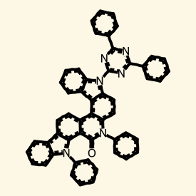 O=c1c2c(ccc3c4ccccc4n(-c4ccccc4)c32)c2c3c4ccccc4n(-c4nc(-c5ccccc5)nc(-c5ccccc5)n4)c3ccc2n1-c1ccccc1